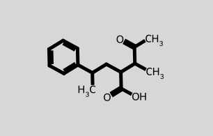 CC(=O)C(C)C(CC(C)c1ccccc1)C(=O)O